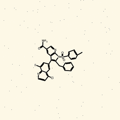 Cc1ccc(S(=O)(=O)n2c(Cc3ccccc3)c(-c3cc(F)c4nccc(Cl)c4c3)c3cc(C(N)=O)cnc32)cc1